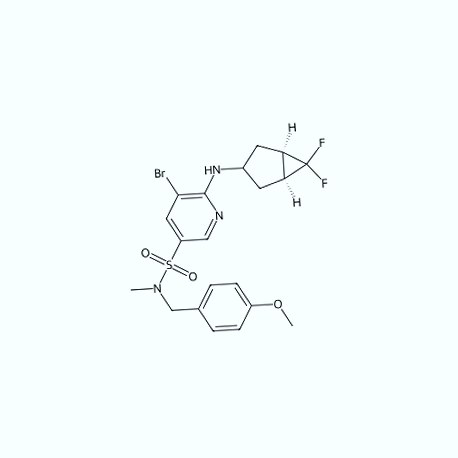 COc1ccc(CN(C)S(=O)(=O)c2cnc(NC3C[C@@H]4[C@H](C3)C4(F)F)c(Br)c2)cc1